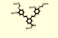 COCOc1ccc(/C=C/c2ccc(C(=O)OC)cc2/C=C/c2ccc(OCOC)c(OC)c2)cc1OC